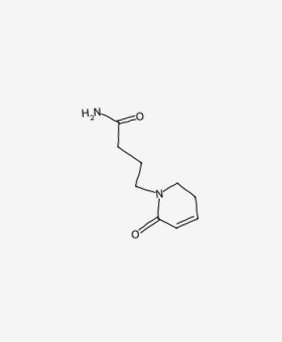 NC(=O)CCCN1CCC=CC1=O